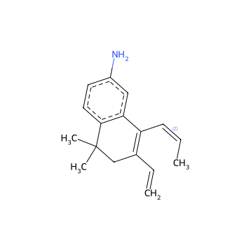 C=CC1=C(/C=C\C)c2cc(N)ccc2C(C)(C)C1